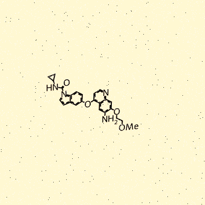 COCCOc1cc2nccc(Oc3ccc4c(ccn4C(=O)NC4CC4)c3)c2cc1N